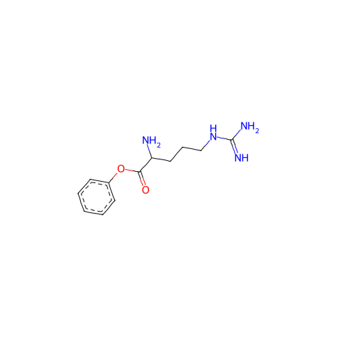 N=C(N)NCCCC(N)C(=O)Oc1ccccc1